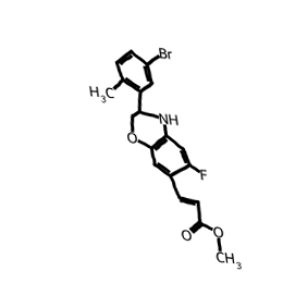 COC(=O)/C=C/c1cc2c(cc1F)NC(c1cc(Br)ccc1C)CO2